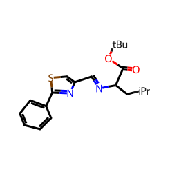 CC(C)CC(N=Cc1csc(-c2ccccc2)n1)C(=O)OC(C)(C)C